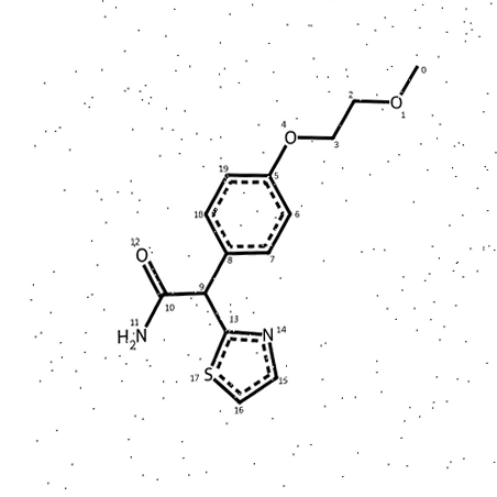 COCCOc1ccc(C(C(N)=O)c2nccs2)cc1